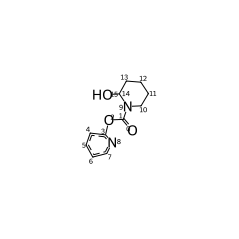 O=C(Oc1ccccn1)N1CCCCC1O